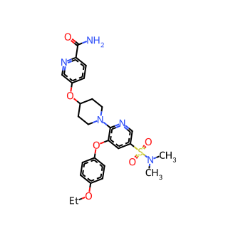 CCOc1ccc(Oc2cc(S(=O)(=O)N(C)C)cnc2N2CCC(Oc3ccc(C(N)=O)nc3)CC2)cc1